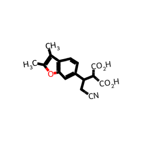 Cc1oc2cc(C(CC#N)C(C(=O)O)C(=O)O)ccc2c1C